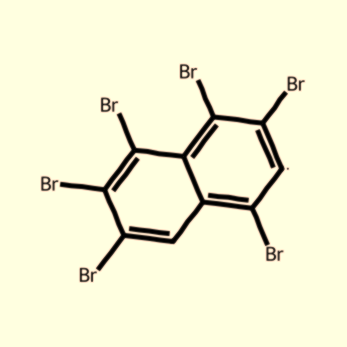 Brc1[c]c(Br)c2cc(Br)c(Br)c(Br)c2c1Br